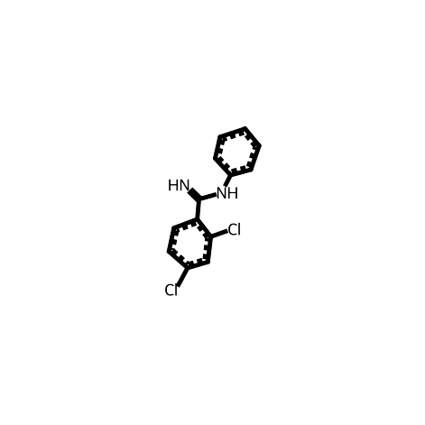 N=C(Nc1ccccc1)c1ccc(Cl)cc1Cl